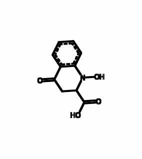 O=C1CC(C(=O)O)N(O)c2ccccc21